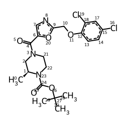 C[C@H]1CN(C(=O)c2cnc(COc3ccc(Cl)cc3Cl)o2)CCN1C(=O)OC(C)(C)C